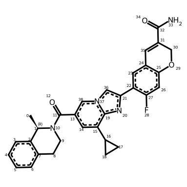 C[C@@H]1c2ccccc2CCN1C(=O)c1cc(C2CC2)c2nc(-c3cc4c(cc3F)OCC(C(N)=O)=C4)cn2c1